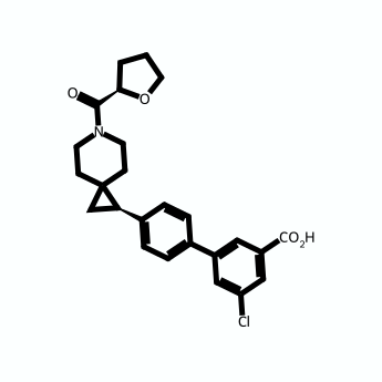 O=C(O)c1cc(Cl)cc(-c2ccc([C@H]3CC34CCN(C(=O)[C@H]3CCCO3)CC4)cc2)c1